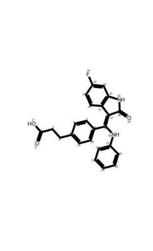 O=C(O)CCc1ccc(/C(Nc2ccccc2)=C2/C(=O)Nc3cc(F)ccc32)cc1